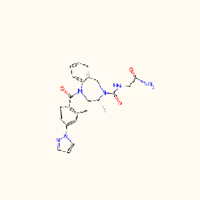 Cc1cc(-n2cccn2)ccc1C(=O)N1C[C@@H](C)N(C(=O)NCC(N)=O)Cc2ccccc21